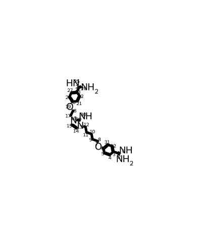 N=C(N)c1ccc(OCCCCCn2ccn(CCOc3ccc(C(=N)N)cc3)c2=N)cc1